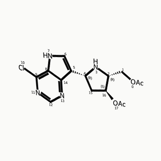 CC(=O)OC[C@H]1N[C@@H](c2c[nH]c3c(Cl)ncnc23)C[C@@H]1OC(C)=O